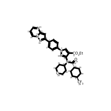 CCOC(=O)c1cn(-c2ccc(-c3cc4ncccn4n3)cc2)nc1N(C(=O)[C@H]1CC[C@H](C(F)(F)F)CC1)C1CCOCC1